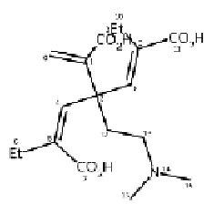 C=C(C(=O)O)C(C=C(CC)C(=O)O)(C=C(CC)C(=O)O)CCN(C)C